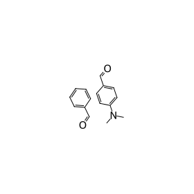 CN(C)c1ccc(C=O)cc1.O=Cc1ccccc1